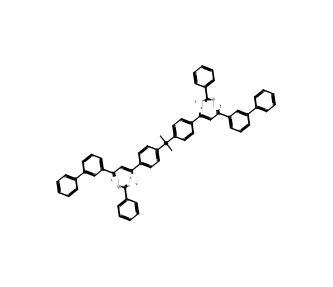 CC(C)(c1ccc(-c2cc(-c3cccc(-c4ccccc4)c3)nc(-c3ccccc3)n2)cc1)c1ccc(-c2cc(-c3cccc(-c4ccccc4)c3)nc(-c3ccccc3)n2)cc1